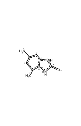 Cc1cc(N)cc2[nH]c(=O)[nH]c12